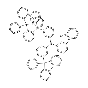 c1ccc(N(c2cccc(N(c3cccc(C4(c5ccccc5)c5ccccc5-c5ccccc54)c3)c3cccc4c3oc3ccccc34)c2)c2ccccc2C2(c3ccccc3)c3ccccc3-c3ccccc32)cc1